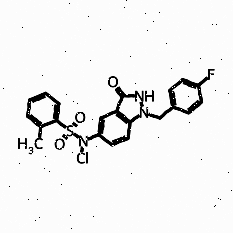 Cc1ccccc1S(=O)(=O)N(Cl)c1ccc2c(c1)c(=O)[nH]n2Cc1ccc(F)cc1